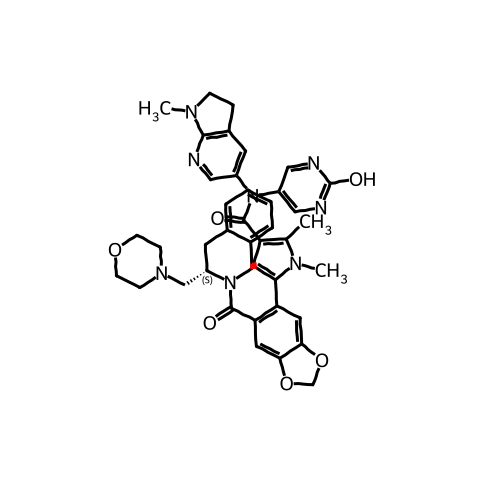 Cc1c(C(=O)N(c2cnc(O)nc2)c2cnc3c(c2)CCN3C)cc(-c2cc3c(cc2C(=O)N2Cc4ccccc4C[C@H]2CN2CCOCC2)OCO3)n1C